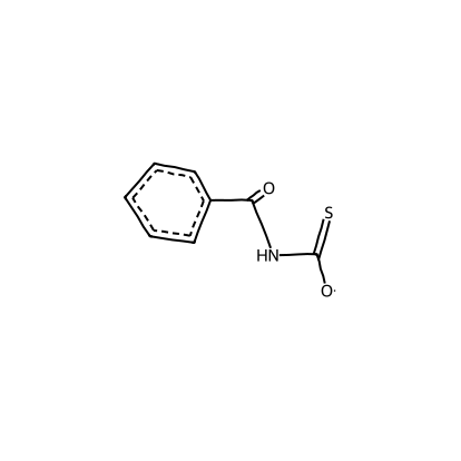 [O]C(=S)NC(=O)c1ccccc1